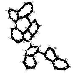 c1ccc2cc(-c3nc(-n4c5cccc6c5c5c(cccc54)-c4cccc5cccc-6c45)nc4ccccc34)ccc2c1